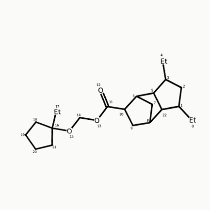 CCC1CC(CC)C2C3CC(CC3C(=O)OCOC3(CC)CCCC3)C12